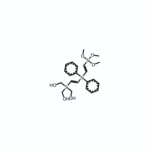 CO[Si](C=C[Si](C=C[Si](CO)(CO)CO)(c1ccccc1)c1ccccc1)(OC)OC